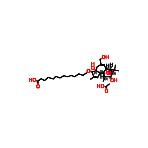 CC(=O)O.CC1=C[C@H]2[C@]3(O)[C@H](C)[C@@H](O)[C@@]4(O)[C@H]([C@@H]3C=C(CO)C[C@@]2(O)C1=O)C4(C)C.CCCCCCCCCCCCCC(=O)O